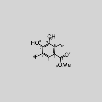 COC(=O)c1cc(F)c(O)c(O)c1C